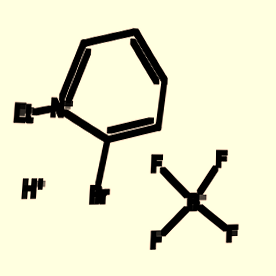 CC[n+]1ccccc1Br.F[B-](F)(F)F.[H+]